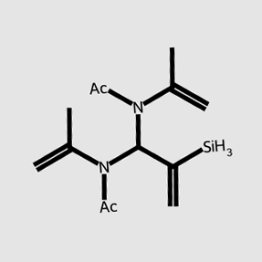 C=C([SiH3])C(N(C(=C)C)C(C)=O)N(C(=C)C)C(C)=O